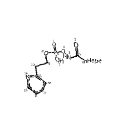 CCCCCCCC(=O)NOP(=O)(O)OCCc1ccccn1